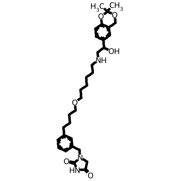 CC1(C)OCc2cc(C(O)CNCCCCCCOCCCCc3cccc(CN4CC(=O)NC4=O)c3)ccc2O1